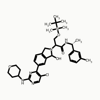 Cc1cccc([C@@H](C)NC(=O)C(CO[Si](C)(C)C(C)(C)C)N2Cc3ccc(-c4nc(NC5CCOCC5)ncc4Cl)cc3C2O)c1